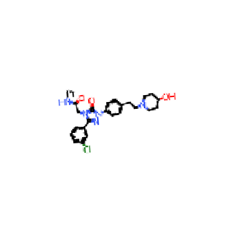 CC(C)NC(=O)Cn1c(-c2cccc(Cl)c2)nn(-c2ccc(CCN3CCC(O)CC3)cc2)c1=O